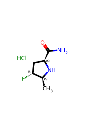 C[C@@H]1N[C@H](C(N)=O)C[C@H]1F.Cl